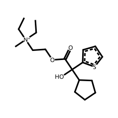 CC[N+](C)(CC)CCOC(=O)C(O)(c1cccs1)C1CCCC1